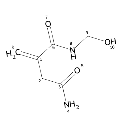 C=C(CC(N)=O)C(=O)NCO